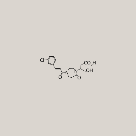 O=C(O)CC(CO)N1CCN(C(=O)C=Cc2cccc(Cl)c2)CCC1=O